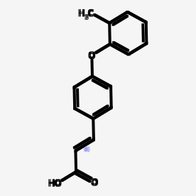 Cc1ccccc1Oc1ccc(/C=C/C(=O)O)cc1